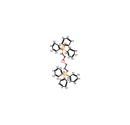 c1ccc([PH](CCCOCC[PH](c2ccccc2)(c2ccccc2)c2ccccc2)(c2ccccc2)c2ccccc2)cc1